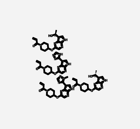 C=CC(=O)N1CCC(Oc2cnc3[nH]cc(-c4ncnn4C)c3n2)CC1.C=CC(=O)N1CCC(Oc2cnc3[nH]cc(-c4nnc[nH]4)c3n2)CC1.C=CC(=O)N1CCC(Oc2cnc3[nH]cc([C@@H](C)O)c3n2)CC1.C=CC(=O)N1CCC(Oc2cnc3[nH]cc([C@H](C)O)c3n2)CC1